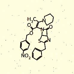 CC(=C(C(=O)OCc1ccc([N+](=O)[O-])cc1)N1C(=O)C2N=C(Cc3ccccc3)SC21)N1CCCCC1